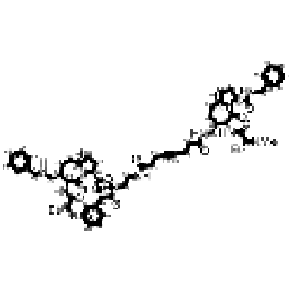 CC[C@H](NC)C(=O)N[C@@H]1C(=O)N2[C@@H](CC[C@@H]1CNC(=O)CCC#CCCC(=O)NCCNC(=O)[C@@H](NC(=O)[C@@H]1CC[C@@H]3CC[C@H](CNCc4ccccc4)[C@H](NC(=O)[C@H](CC)NC)C(=O)N31)c1ccccc1)CC[C@H]2C(=O)NCc1ccccc1